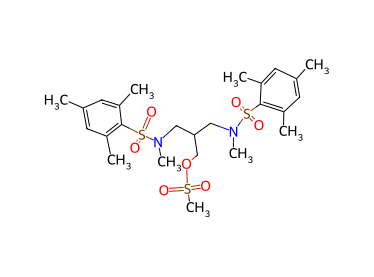 Cc1cc(C)c(S(=O)(=O)N(C)CC(COS(C)(=O)=O)CN(C)S(=O)(=O)c2c(C)cc(C)cc2C)c(C)c1